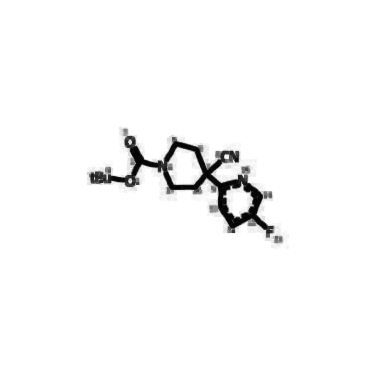 CC(C)(C)OC(=O)N1CCC(C#N)(c2ccc(F)cn2)CC1